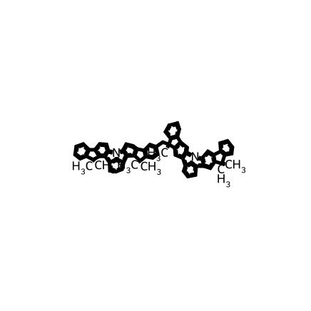 CC1(C)c2ccccc2-c2cc3c(cc21)c1cccc2c4cc5c(cc4n3c12)-c1ccccc1C5(C)Cc1ccc2c(c1)-c1ccc3c(c1C2(C)C)c1cccc2c4c5c(ccc4n3c21)-c1ccccc1C5(C)C